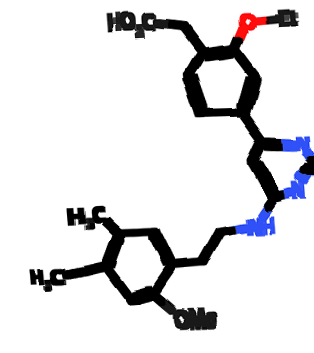 CCOc1cc(-c2cc(NCCc3cc(C)c(C)cc3OC)ncn2)ccc1CC(=O)O